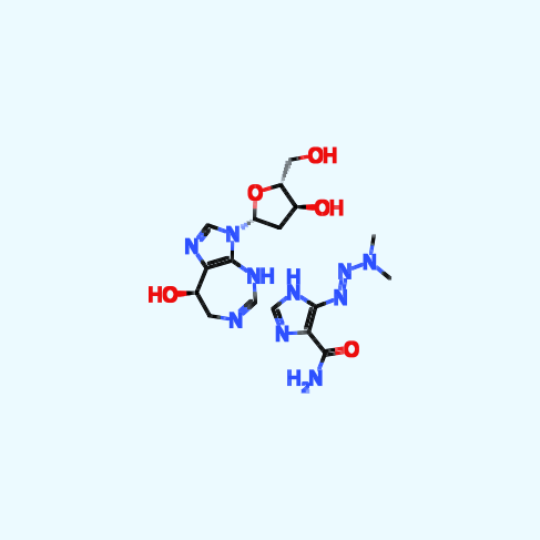 CN(C)/N=N/c1[nH]cnc1C(N)=O.OC[C@H]1O[C@@H](n2cnc3c2NC=NC[C@H]3O)C[C@@H]1O